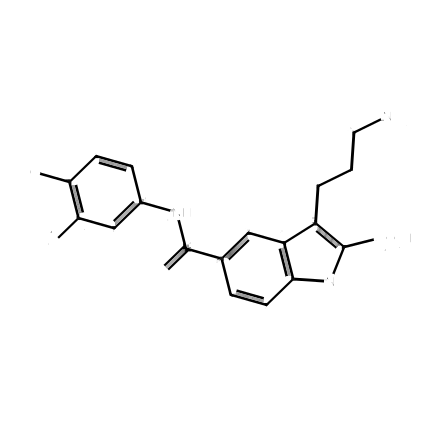 Cc1ccc(NC(=O)c2ccc3[nH]c(C(=O)O)c(CCCN)c3c2)cc1C